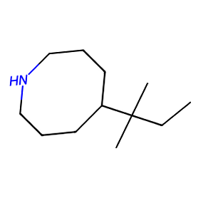 CCC(C)(C)C1CCCNCCC1